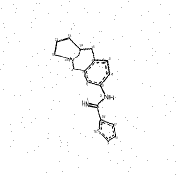 N=C(Nc1ccc2c(c1)CN1CCCC1C2)c1cccs1